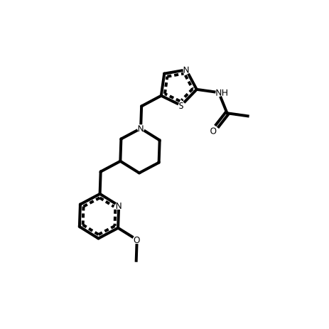 COc1cccc(CC2CCCN(Cc3cnc(NC(C)=O)s3)C2)n1